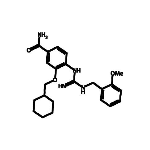 COc1ccccc1CNC(=N)Nc1ccc(C(N)=O)cc1OCC1CCCCC1